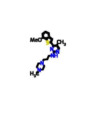 COc1cccc2cc(-c3nc(NCCCN4CCN(C)CC4)ncc3C)sc12